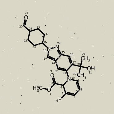 COC(=O)C1C(F)=CC=CN1c1cc2cn(C3CCC(C=O)CC3)nc2cc1C(C)(C)O